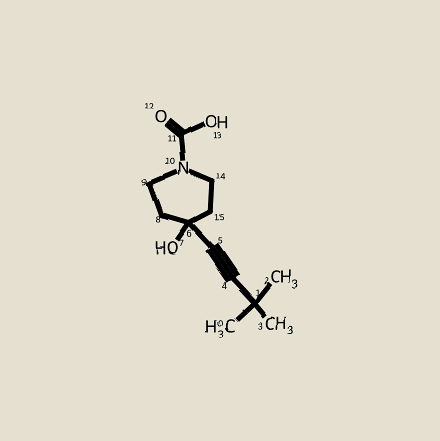 CC(C)(C)C#CC1(O)CCN(C(=O)O)CC1